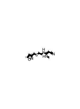 CNC(=CC#N)NCCSCc1ccon1